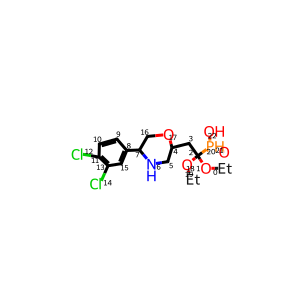 CCOC(CC1CNC(c2ccc(Cl)c(Cl)c2)CO1)(OCC)[PH](=O)O